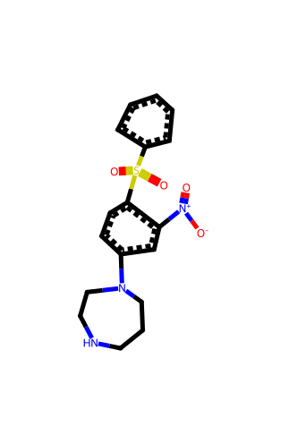 O=[N+]([O-])c1cc(N2CCCNCC2)ccc1S(=O)(=O)c1ccccc1